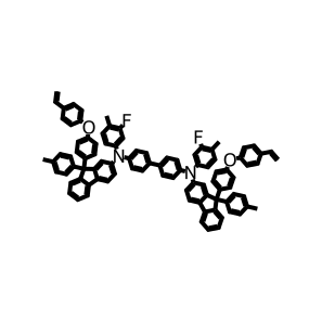 C=Cc1ccc(Oc2ccc(C3(c4ccc(C)cc4)c4ccccc4-c4ccc(N(c5ccc(-c6ccc(N(c7ccc(C)c(F)c7)c7ccc8c(c7)C(c7ccc(C)cc7)(c7ccc(Oc9ccc(C=C)cc9)cc7)c7ccccc7-8)cc6)cc5)c5ccc(C)c(F)c5)cc43)cc2)cc1